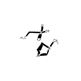 CCS(=O)(=O)O.Cn1ccnc1